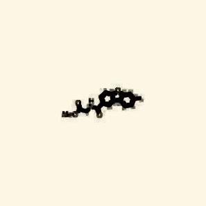 COC(=O)CNC(=O)c1ccc2oc3cc(C)ccc3c2c1